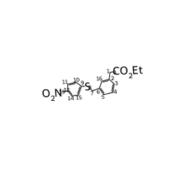 CCOC(=O)Cc1cccc(CSc2ccc([N+](=O)[O-])cc2)c1